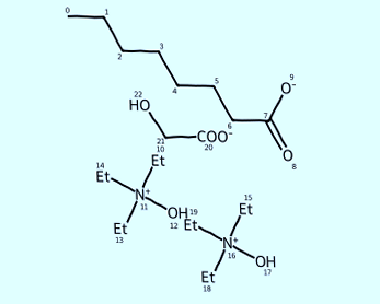 CCCCCCCC(=O)[O-].CC[N+](O)(CC)CC.CC[N+](O)(CC)CC.O=C([O-])CO